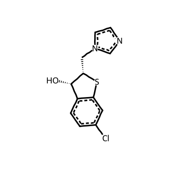 O[C@H]1c2ccc(Cl)cc2S[C@H]1Cn1ccnc1